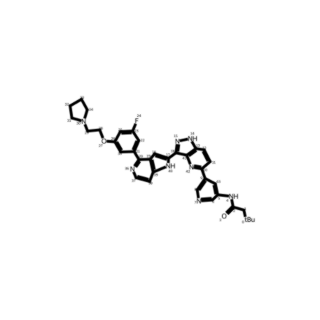 CC(C)(C)CC(=O)Nc1cncc(-c2ccc3[nH]nc(-c4cc5c(-c6cc(F)cc(OCCN7CCCC7)c6)nccc5[nH]4)c3n2)c1